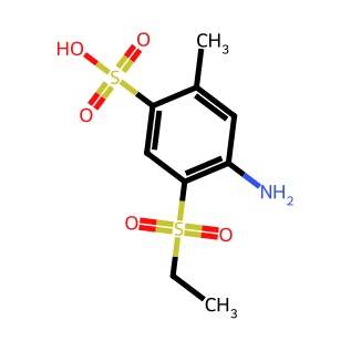 CCS(=O)(=O)c1cc(S(=O)(=O)O)c(C)cc1N